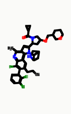 Cc1nc2c(F)c(-c3cccc(Cl)c3Cl)c(CCC#N)cc2c2c1cc(C1CC(OCC3CCCOC3)CN1C(=O)C1CC1)n2C1C2CNC1C2